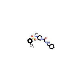 CC(C)N(C1CCN(C(=O)CNCC2CCCCC2)CC1)S(=O)(=O)c1cccc(C(F)(F)F)c1